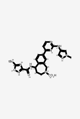 Cn1cc(Nc2nccc(-c3ccc4c(c3)CN(C(=O)O)CCC4NC(=O)c3noc(C(C)(C)C)n3)n2)cn1